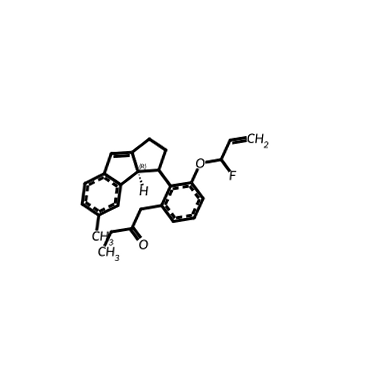 C=CC(F)Oc1cccc(CC(=O)CC)c1C1CCC2=Cc3ccc(C)cc3[C@@H]21